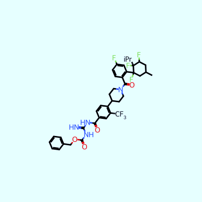 CC1CC(F)C(F)(C(C)C)C(F)(c2cc(F)ccc2C(=O)N2CCC(c3ccc(C(=O)NC(=N)NC(=O)OCc4ccccc4)cc3C(F)(F)F)CC2)C1